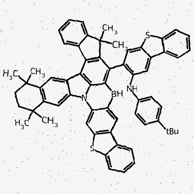 CC(C)(C)c1ccc(Nc2cc3c(cc2-c2c4c(c5c6cc7c(cc6n6c5c2Bc2cc5c(cc2-6)sc2ccccc25)C(C)(C)CCC7(C)C)-c2ccccc2C4(C)C)sc2ccccc23)cc1